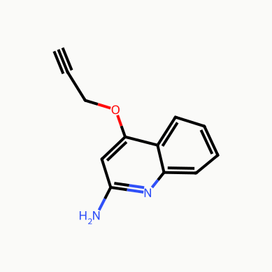 C#CCOc1cc(N)nc2ccccc12